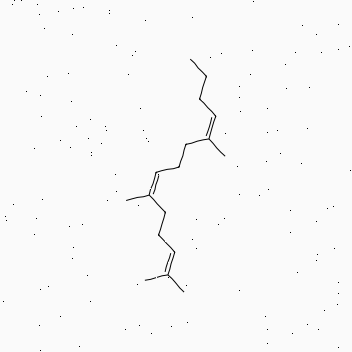 CCCC=C(C)CCC=C(C)CCC=C(C)C